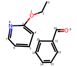 CCOc1ccccn1.O=Cc1ccccc1